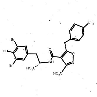 O=C(O)c1noc(Cc2ccc(C(F)(F)F)cc2)c1C(=O)N[C@@H](Cc1cc(Br)c(O)c(Br)c1)C(=O)O